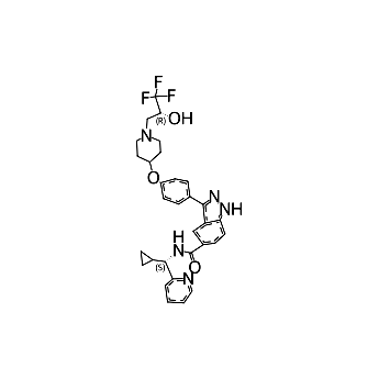 O=C(N[C@H](c1ccccn1)C1CC1)c1ccc2[nH]nc(-c3ccc(OC4CCN(C[C@@H](O)C(F)(F)F)CC4)cc3)c2c1